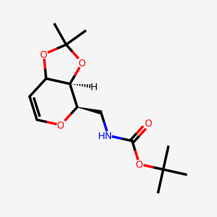 CC(C)(C)OC(=O)NC[C@H]1OC=CC2OC(C)(C)O[C@H]21